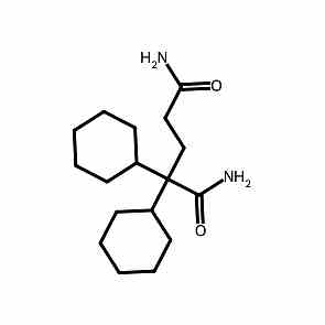 NC(=O)CCC(C(N)=O)(C1CCCCC1)C1CCCCC1